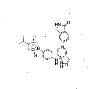 CC(C)N1C[C@@H]2C[C@H]1CN2c1ccc(N[N+]23C=CN(c4ccc5c(c4)CNC5=O)C=C2C=NN3)cc1